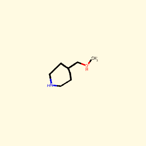 [CH2-][OH+]CC1CCNCC1